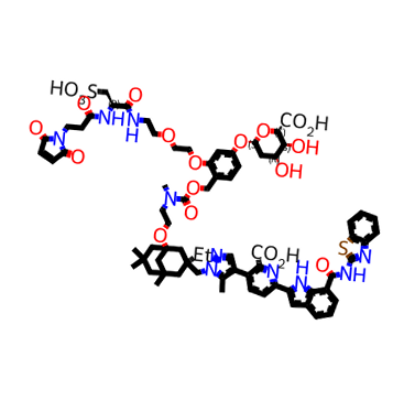 CCC1(Cn2ncc(-c3ccc(-c4cc5cccc(C(=O)Nc6nc7ccccc7s6)c5[nH]4)nc3C(=O)O)c2C)CC2(C)CC(C)(C)CC(OCCN(C)C(=O)OCc3ccc(O[C@H]4C[C@@H](O)[C@H](O)[C@@H](C(=O)O)O4)cc3OCCOCCNC(=O)[C@H](CS(=O)(=O)O)NC(=O)CCN3C(=O)C=CC3=O)(C2)C1